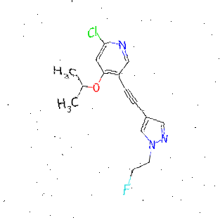 CC(C)Oc1cc(Cl)ncc1C#Cc1cnn(CCF)c1